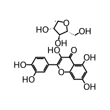 O=c1c(O)c(-c2ccc(O)c(O)c2)oc2cc(O)cc(O)c12.OC[C@H]1O[CH][C@@H](O)[C@@H]1O